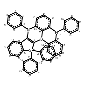 c1ccc(N2C3=C(B4c5ccccc5N(c5ccccc5)c5cccc2c54)[Si](c2ccccc2)(c2ccccc2)c2ccccc23)cc1